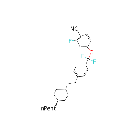 CCCCC[C@H]1CC[C@H](CCc2ccc(C(F)(F)Oc3ccc(C#N)c(F)c3)cc2)CC1